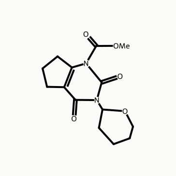 COC(=O)n1c2c(c(=O)n(C3CCCCO3)c1=O)CCC2